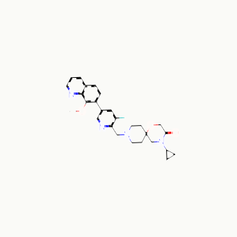 COc1c(-c2cnc(CN3CCC4(CC3)CN(C3CC3)C(=O)CO4)c(F)c2)ccc2cccnc12